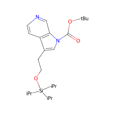 CC(C)[Si](OCCc1cn(C(=O)OC(C)(C)C)c2cnccc12)(C(C)C)C(C)C